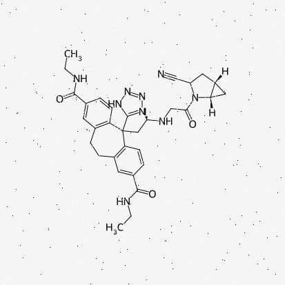 CCNC(=O)c1ccc2c(c1)CCc1cc(C(=O)NCC)ccc1C2(C[C@@H](I)NCC(=O)N1C(C#N)C[C@@H]2C[C@@H]21)c1nnn[nH]1